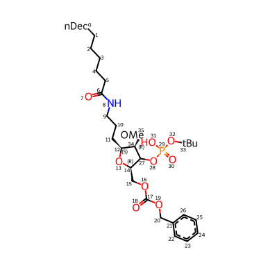 CCCCCCCCCCCCCCCC(=O)NCCC[C@@H]1O[C@H](COC(=O)OCc2ccccc2)C(OP(=O)(O)OC(C)(C)C)[C@@H]1OC